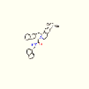 COc1cc2c(cc1OC)C(Cc1ccc3ccccc3c1)N(CC(=O)NCc1cccc3ccccc13)CC2